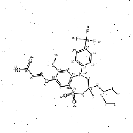 CCCCC1(CCCC)CN(c2ccc(C(F)(F)F)cc2)c2cc(SC)c(OC=CC(=O)O)cc2S(=O)(=O)C1